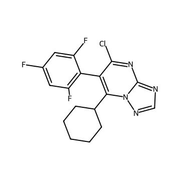 Fc1cc(F)c(-c2c(Cl)nc3ncnn3c2C2CCCCC2)c(F)c1